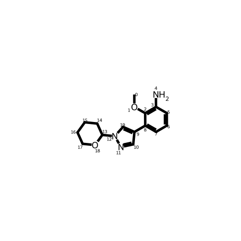 COc1c(N)cccc1-c1cnn(C2CCCCO2)c1